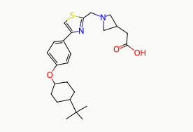 CC(C)(C)C1CCC(Oc2ccc(-c3csc(CN4CC(CC(=O)O)C4)n3)cc2)CC1